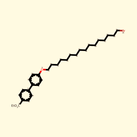 CCOC(=O)c1ccc(-c2ccc(OCCCCCCCCCCCCCCCCBr)cc2)cc1